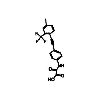 Cc1ccc(C#Cc2ccc(NC(=O)C(=O)O)cc2)c(C(F)(F)F)c1